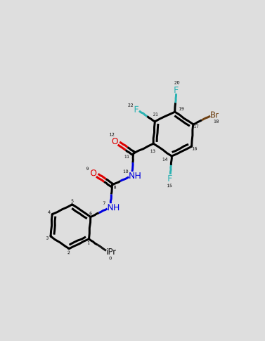 CC(C)c1ccccc1NC(=O)NC(=O)c1c(F)cc(Br)c(F)c1F